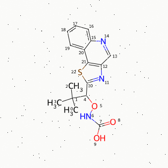 CC(C)(C)C(ONC(=O)O)c1nc2cnc3ccccc3c2s1